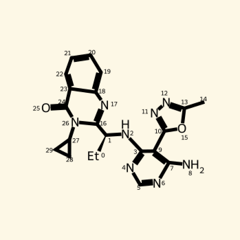 CC[C@H](Nc1ncnc(N)c1-c1nnc(C)o1)c1nc2ccccc2c(=O)n1C1CC1